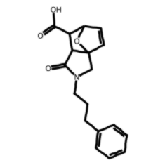 O=C(O)C1C2C=CC3(CN(CCCc4ccccc4)C(=O)C13)O2